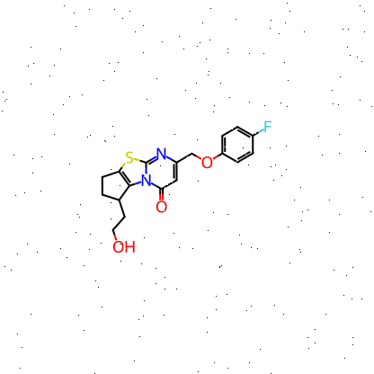 O=c1cc(COc2ccc(F)cc2)nc2sc3c(n12)C(CCO)CC3